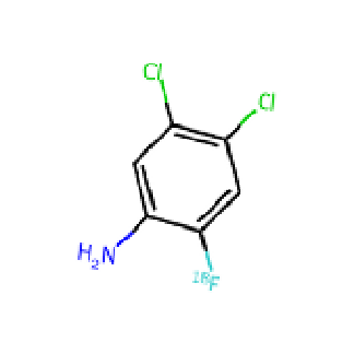 Nc1cc(Cl)c(Cl)cc1[18F]